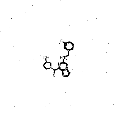 O=C(c1nc(NCc2cccc(F)c2)nc2ccsc12)N1CC[C@@H](O)C1